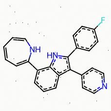 Fc1ccc(-c2[nH]c3c(C4=CC=CC=CN4)cccc3c2-c2ccncc2)cc1